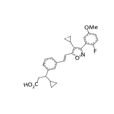 COc1ccc(F)c(-c2noc(/C=C/c3cccc(C(CC(=O)O)C4CC4)c3)c2C2CC2)c1